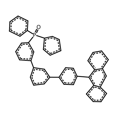 O=P(c1ccccc1)(c1ccccc1)c1cccc(-c2cccc(-c3ccc(-c4c5ccccc5cc5ccccc45)cc3)c2)c1